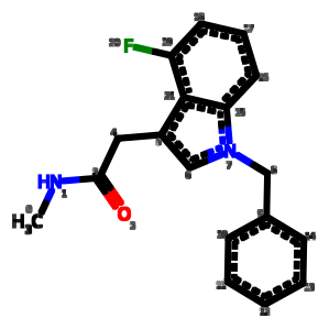 CNC(=O)Cc1cn(Cc2ccccc2)c2cccc(F)c12